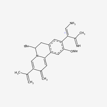 C=C(C)C1=CN2C(=CC1=C)c1cc(OC)c(/C(=C/N)C(C)=N)cc1CC2C(C)(C)C